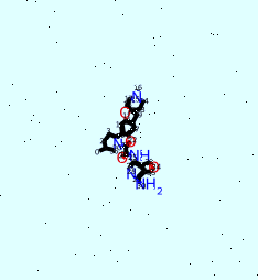 CC1CCC(c2ccc3c(c2)OC2(CCN(C)CC2)C3)N(C(=O)C(=O)Nc2cnc(N)c3c2COC3)C1